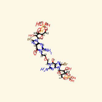 Nc1nc2c(nc(Br)n2[C@@H]2OC3CO[PH](O)(O)O[C@H]3C2O)c(=O)n1CCOCCn1c(N)nc2c(nc(Br)n2[C@@H]2OC3CO[PH](O)(O)O[C@H]3[C@@H]2O)c1=O